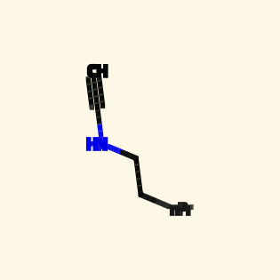 C#CNCCCC[CH2]